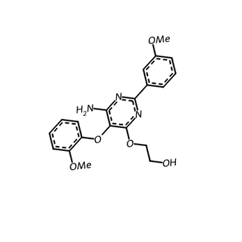 COc1cccc(-c2nc(N)c(Oc3ccccc3OC)c(OCCO)n2)c1